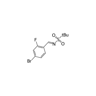 CC(C)(C)S(=O)(=O)N=Cc1ccc(Br)cc1F